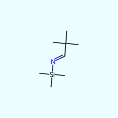 CC(C)(C)C=N[Si](C)(C)C